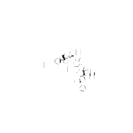 Cc1ccc(S(=O)(=O)OC[C@@H](C)[C@H]2CC=C3C4=C(CC[C@@]32C)[C@@]2(C)CC[C@H](OC(=O)c3ccccc3)C(C)(C)[C@@H]2CC4)cc1